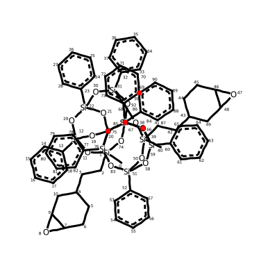 C[Si]1(CCC2CCC3OC3C2)O[Si]2(c3ccccc3)OC34O[Si](c5ccccc5)(O2)O[Si]2(c5ccccc5)O[Si](C)(CCC5CCC6OC6C5)O[Si]5(c6ccccc6)O[Si](c6ccccc6)(O[Si](c6ccccc6)(O1)O[Si]3(c1ccccc1)O5)O[Si]4(c1ccccc1)O2